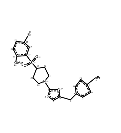 CCCc1ccc(Cc2csc(N3CCC(S(=O)(=O)c4cc(Br)ccc4OC)CC3)n2)cc1